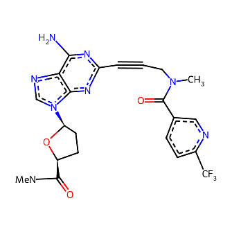 CNC(=O)[C@@H]1CC[C@H](n2cnc3c(N)nc(C#CCN(C)C(=O)c4ccc(C(F)(F)F)nc4)nc32)O1